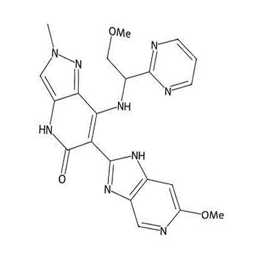 COCC(Nc1c(-c2nc3cnc(OC)cc3[nH]2)c(=O)[nH]c2cn(C)nc12)c1ncccn1